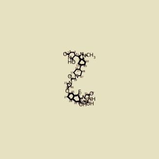 Cn1nc(C2CCC(=O)NC2=O)c2cc(C3CCN(CC(=O)N4CC(Oc5ccc6cc(O)c(N7CC(=O)NS7(O)O)c(F)c6c5)C4)CC3)ccc21